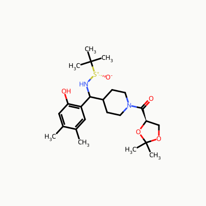 Cc1cc(O)c(C(N[S@@+]([O-])C(C)(C)C)C2CCN(C(=O)[C@H]3COC(C)(C)O3)CC2)cc1C